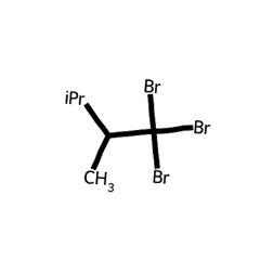 CC(C)C(C)C(Br)(Br)Br